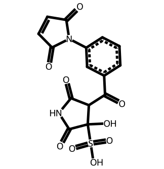 O=C1NC(=O)C(O)(S(=O)(=O)O)C1C(=O)c1cccc(N2C(=O)C=CC2=O)c1